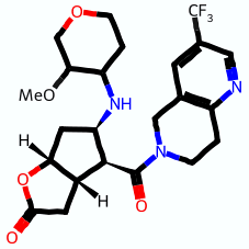 COC1COCCC1N[C@@H]1C[C@H]2OC(=O)C[C@H]2[C@@H]1C(=O)N1CCc2ncc(C(F)(F)F)cc2C1